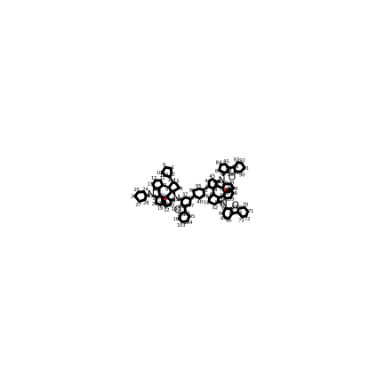 c1ccc(-c2ccc3c(c2-c2cccc4c2c2ccccc2n4-c2ccccc2)c2ccccc2n3-c2cc(-c3ccc(-c4ccc5c(c4-c4cccc6c4c4ccccc4n6-c4cccc6c4oc4ccccc46)c4ccccc4n5-c4cccc5c4oc4ccccc45)cc3)cc3c2oc2ccccc23)cc1